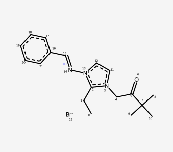 CCc1n(CC(=O)C(C)(C)C)cc[n+]1/N=C/c1ccccc1.[Br-]